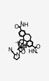 CNC(=O)c1ccc2c(c1)CCc1cc(C(=O)NC)ccc1C2(C[C@@H](C)NCC(=O)N1CCCC1C#N)c1nnc(C)o1